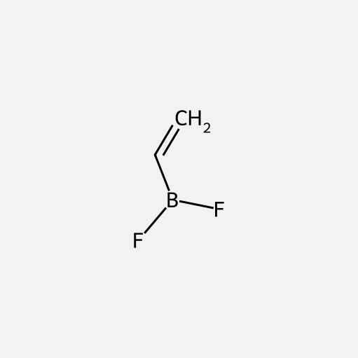 C=CB(F)F